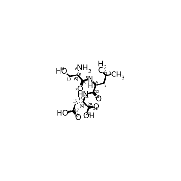 CC(C)C[C@H](NC(=O)[C@@H](N)CO)C(=O)N[C@@H](CC(=O)O)C(=O)O